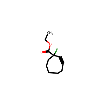 CCOC(=O)C1(F)C#CCCCCC1